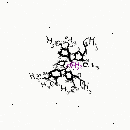 CCc1ccc(C(P)(c2ccc(CC)c(CC)c2)[C@@H]2CC[C@H]2C(P)(c2ccc(CC)c(CC)c2)c2ccc(CC)c(CC)c2)cc1CC